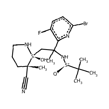 CC(C[S@@]1(O)NCCC[C@@]1(C)C#N)(N[S@+]([O-])C(C)(C)C)c1nc(Br)ccc1F